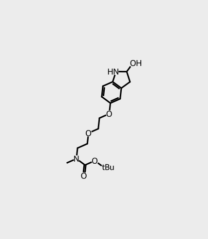 CN(CCOCCOc1ccc2c(c1)CC(O)N2)C(=O)OC(C)(C)C